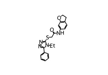 CCn1c(SCC(=O)Nc2ccc3c(c2)OCC3)nnc1-c1ccccc1